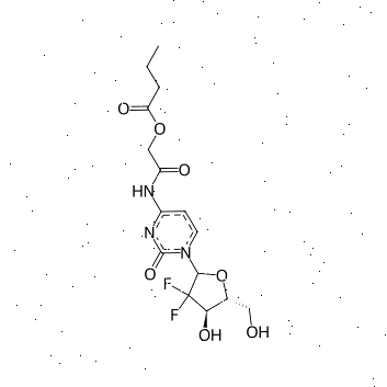 CCCC(=O)OCC(=O)Nc1ccn(C2O[C@H](CO)[C@@H](O)C2(F)F)c(=O)n1